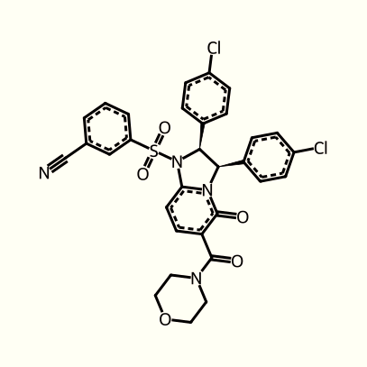 N#Cc1cccc(S(=O)(=O)N2c3ccc(C(=O)N4CCOCC4)c(=O)n3[C@H](c3ccc(Cl)cc3)[C@@H]2c2ccc(Cl)cc2)c1